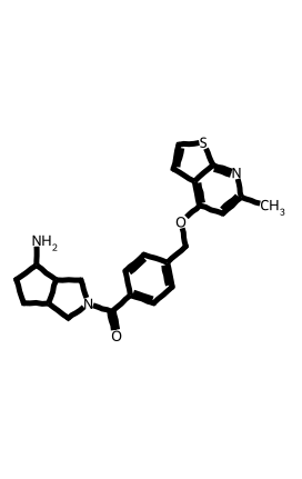 Cc1cc(OCc2ccc(C(=O)N3CC4CCC(N)C4C3)cc2)c2ccsc2n1